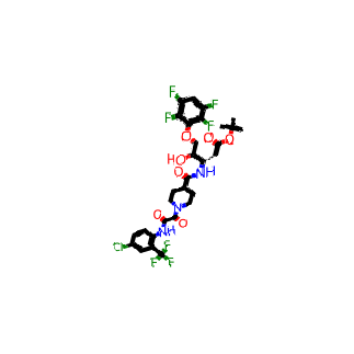 CC(C)(C)OC(=O)C[C@H](NC(=O)C1CCN(C(=O)C(=O)Nc2ccc(Cl)cc2C(F)(F)F)CC1)C(O)COc1c(F)c(F)cc(F)c1F